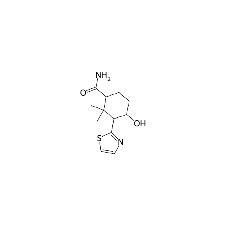 CC1(C)C(C(N)=O)CCC(O)C1c1nccs1